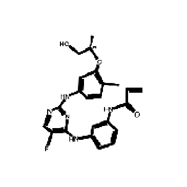 C=CC(=O)Nc1cccc(Nc2nc(Nc3ccc(C)c(O[C@H](C)CO)c3)ncc2F)c1